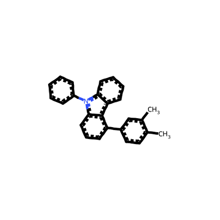 Cc1ccc(-c2cccc3c2c2ccccc2n3-c2ccccc2)cc1C